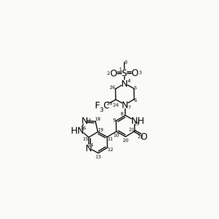 CS(=O)(=O)N1CCN(c2cc(-c3ccnc4[nH]ncc34)cc(=O)[nH]2)C(C(F)(F)F)C1